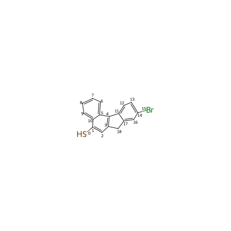 Sc1cc2c(c3ccccc13)-c1ccc(Br)cc1C2